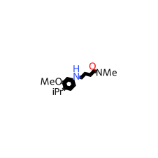 CNC(=O)CCCNc1ccc(C(C)C)c(OC)c1